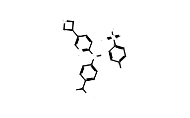 CC(C)c1ccc(N(C)c2ccc(C3CNC3)cn2)cc1.Cc1ccc(S(=O)(=O)O)cc1